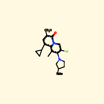 CNC1CCN(c2c(F)cn3c(=O)c(C(=O)O)cc(C4CC4)c3c2C)C1